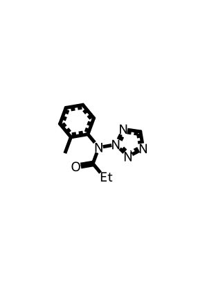 CCC(=O)N(c1ccccc1C)n1ncnn1